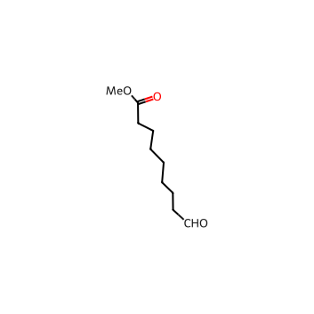 COC(=O)CCCCCCCC=O